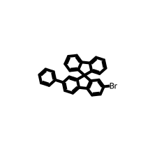 Brc1ccc2c(c1)C1(c3ccccc3-c3ccccc31)c1cc(-c3ccccc3)ccc1-2